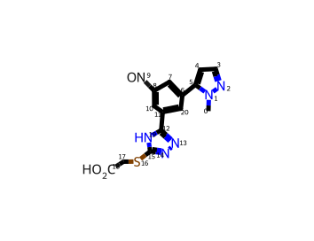 Cn1nccc1-c1cc(N=O)cc(-c2nnc(SCC(=O)O)[nH]2)c1